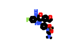 CN(C)CCN(c1ccc(NC(=C2C(=O)Nc3cc(F)ccc32)c2ccc3c(c2)CCO3)cc1)S(C)(=O)=O